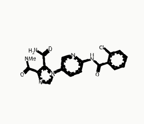 CNC(=O)c1ncn(-c2ccc(NC(=O)c3ccccc3Cl)nc2)c1C(N)=O